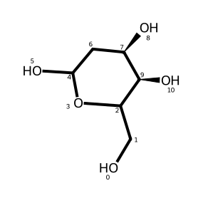 OCC1OC(O)C[C@@H](O)[C@H]1O